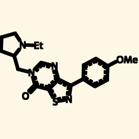 CCN1CCCC1Cn1cnc2c(-c3ccc(OC)cc3)nsc2c1=O